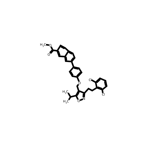 COC(=O)c1ccc2ccc(-c3ccc(OCc4c(CCc5c(Cl)cccc5Cl)noc4C(C)C)cc3)cc2c1